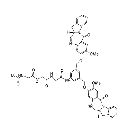 CCC(=O)NCC(=O)NCC(=O)NCC(=O)Nc1cc(COc2cc3c(cc2OC)C(=O)N2c4ccccc4C[C@H]2C=N3)cc(COc2cc3c(cc2OC)C(=O)N2c4ccccc4C[C@H]2CN3)c1